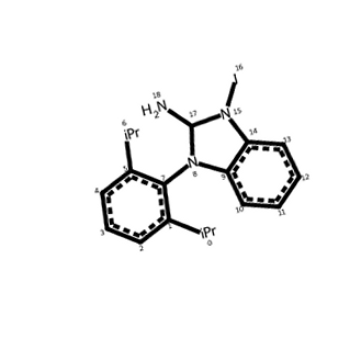 CC(C)c1cccc(C(C)C)c1N1c2ccccc2N(I)C1N